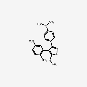 CN(C)c1ccc(-c2csc(CN)c2-c2cc(N)ccc2N)cc1